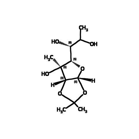 CC(O)[C@@H](O)[C@@H]1O[C@@H]2OC(C)(C)O[C@@H]2[C@@]1(C)O